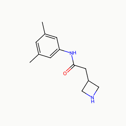 Cc1cc(C)cc(NC(=O)CC2CNC2)c1